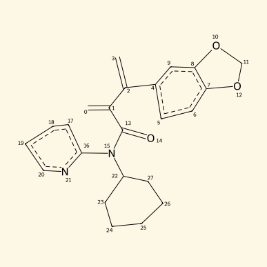 C=C(C(=C)c1ccc2c(c1)OCO2)C(=O)N(c1ccccn1)C1CCCCC1